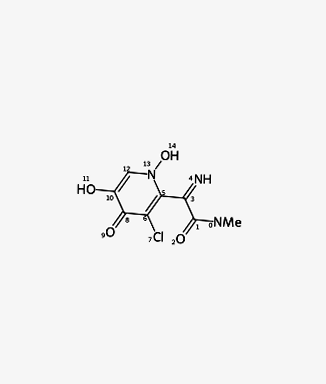 CNC(=O)C(=N)c1c(Cl)c(=O)c(O)cn1O